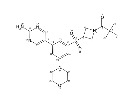 CC(C)(C)C(=O)N1CC(S(=O)(=O)c2cc(-c3cnc(N)nc3)cc(N3CCOCC3)c2)C1